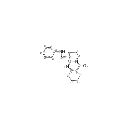 O=c1c2c(nc3n1CCCC3=NNc1ccccc1)CCCC2